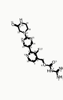 N=C(N)NC(=O)OCc1ccnc(-c2cnc(N3CCNC(=O)C3)nc2)c1F